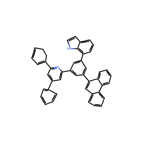 C1=CCCC(c2cc(-c3ccccc3)cc(-c3cc(-c4cc5ccccc5c5ccccc45)cc(-c4cccc5cc[nH]c45)c3)n2)=C1